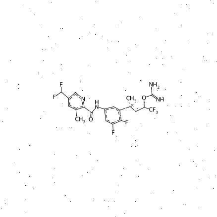 Cc1cc(C(F)F)cnc1C(=O)Nc1cc(F)c(F)c([C@H](C)CC(OC(=N)N)C(F)(F)F)c1